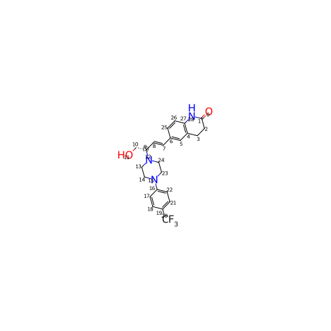 O=C1CCc2cc(C=C[C@@H](CO)N3CCN(c4ccc(C(F)(F)F)cc4)CC3)ccc2N1